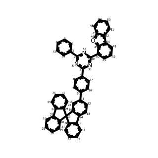 c1ccc(-c2nc(-c3ccc(-c4ccc5c(c4)C4(c6ccccc6-c6ccccc64)c4ccccc4-5)cc3)nc(-c3cccc4c3oc3ccccc34)n2)cc1